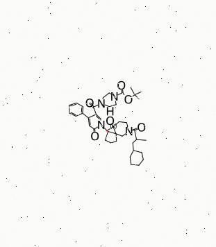 CC(CC1CCCCC1)C(=O)N1CC[C@](O)(Cn2cc(C(=O)N3CCN(C(=O)OC(C)(C)C)CC3)c(-c3ccccc3)cc2=O)C2(CCCC2)C1